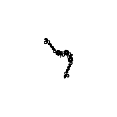 C=CC(=O)OCCCCCCOc1ccc(C(F)(F)Oc2cccc(OC(F)(F)c3ccc(OCCCCCCOC(=O)C=C)cc3)c2)cc1